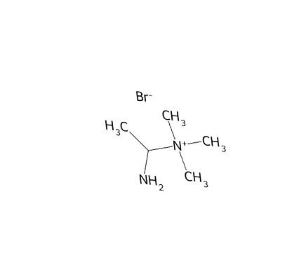 CC(N)[N+](C)(C)C.[Br-]